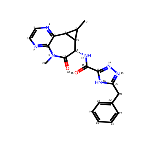 CC1C2c3nccnc3N(C)C(=O)[C@@H](NC(=O)c3nnc(Cc4ccccc4)[nH]3)C12